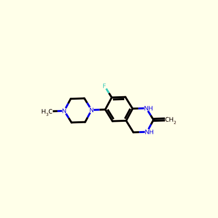 C=C1NCc2cc(N3CCN(C)CC3)c(F)cc2N1